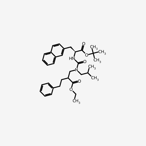 CCOC(=O)C(CCc1ccccc1)CN(CC(C)C)C(=O)N[C@@H](Cc1ccc2ccccc2c1)C(=O)OC(C)(C)C